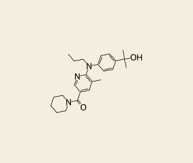 CCCN(c1ccc(C(C)(C)O)cc1)c1ncc(C(=O)N2CCCCC2)cc1C